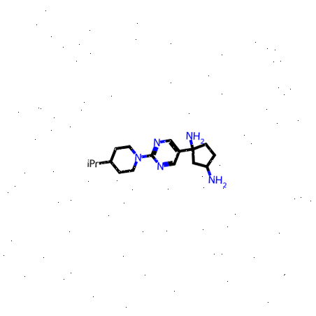 CC(C)C1CCN(c2ncc(C3(N)CCC(N)C3)cn2)CC1